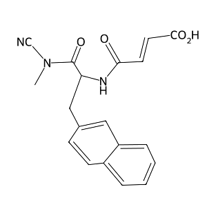 CN(C#N)C(=O)C(Cc1ccc2ccccc2c1)NC(=O)/C=C/C(=O)O